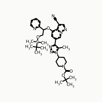 Cc1c(-c2cc(OC(CO[Si](C)(C)C(C)(C)C)c3ccccn3)c3c(C#N)cnn3c2)nnn1C1CCN(C(=O)OC(C)(C)C)CC1